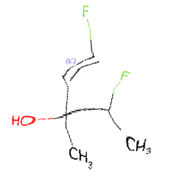 CC(F)C(C)(O)/C=C/F